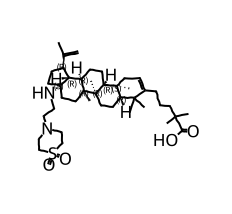 C=C(C)[C@@H]1CC[C@]2(NCCN3CCS(=O)(=O)CC3)CC[C@]3(C)[C@H](CC[C@@H]4[C@@]5(C)CC=C(CCCC(C)(C)C(=O)O)C(C)(C)[C@@H]5CC[C@]43C)[C@@H]12